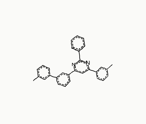 Cc1cccc(-c2cccc(-c3cc(-c4cccc(C)c4)nc(-c4ccccc4)n3)c2)c1